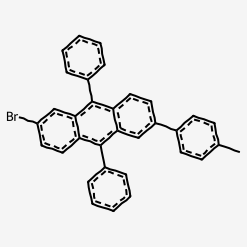 Cc1ccc(-c2ccc3c(-c4ccccc4)c4cc(Br)ccc4c(-c4ccccc4)c3c2)cc1